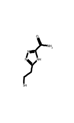 NC(=O)c1nnc(CCS)[nH]1